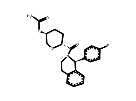 NC(=O)O[C@H]1CC[C@H](C(=O)N2CCc3ccccc3[C@@H]2c2ccc(F)cc2)OC1